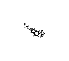 COCCNCc1ccc(C(F)(F)F)cc1